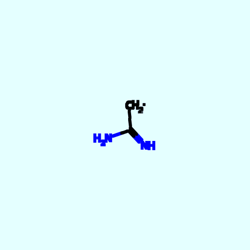 [CH2]C(=N)N